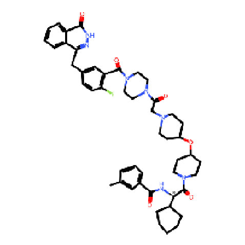 Cc1cccc(C(=O)N[C@@H](C(=O)N2CCC(OC3CCN(CC(=O)N4CCN(C(=O)c5cc(Cc6n[nH]c(=O)c7ccccc67)ccc5F)CC4)CC3)CC2)C2CCCCC2)c1